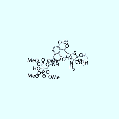 CCOc1ccc2cc(NCCC(O)(P(=O)(OOC)OOC)P(=O)(OOC)OOC)ccc2c1C(=O)C1C(=O)N2C1SC(C)(C)C2(N)C(=O)O